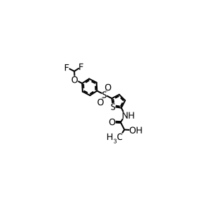 CC(O)C(=O)Nc1ccc(S(=O)(=O)c2ccc(OC(F)F)cc2)s1